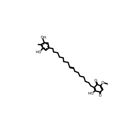 COC1=CC(=O)C(O)=C(CCCCCCCC=CCCCCCCCc2cc(O)c(C)c(O)c2)C1=O